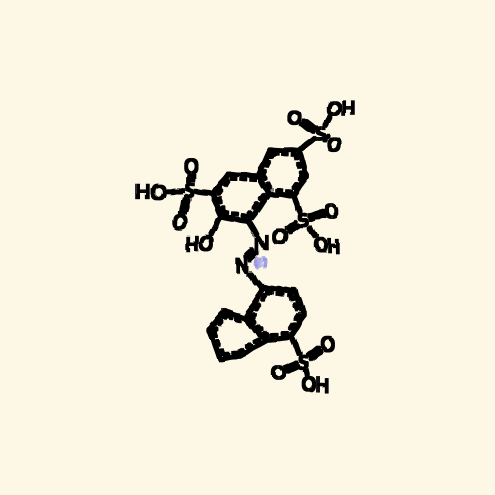 O=S(=O)(O)c1cc(S(=O)(=O)O)c2c(/N=N/c3ccc(S(=O)(=O)O)c4ccccc34)c(O)c(S(=O)(=O)O)cc2c1